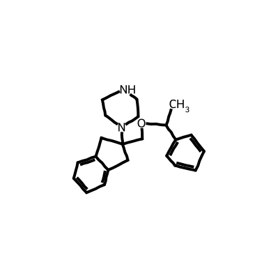 CC(OCC1(N2CCNCC2)Cc2ccccc2C1)c1ccccc1